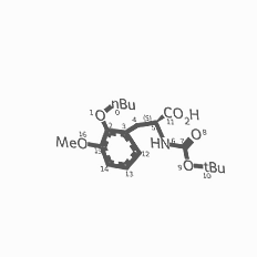 CCCCOc1c(C[C@H](NC(=O)OC(C)(C)C)C(=O)O)cccc1OC